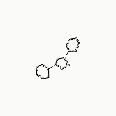 c1ccc(-c2cn(-c3ccncc3)nn2)cc1